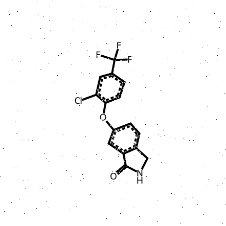 O=C1N[CH]c2ccc(Oc3ccc(C(F)(F)F)cc3Cl)cc21